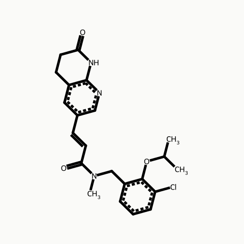 CC(C)Oc1c(Cl)cccc1CN(C)C(=O)/C=C/c1cnc2c(c1)CCC(=O)N2